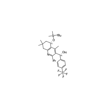 Cc1c([C@H](O)c2ccc(S(F)(F)(F)(F)F)cc2)c(C(C)C)nc2c1[C@@H](O[Si](C)(C)C(C)(C)C)CC(C)(C)C2